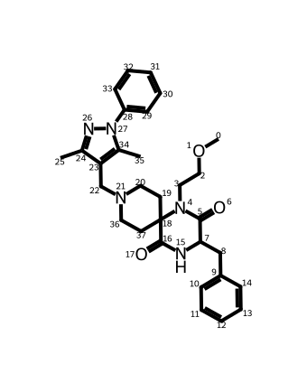 COCCN1C(=O)C(Cc2ccccc2)NC(=O)C12CCN(Cc1c(C)nn(-c3ccccc3)c1C)CC2